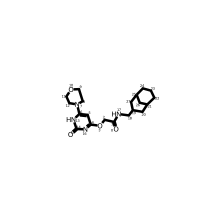 O=C(COc1cc(N2CCOCC2)[nH]c(=O)n1)NCC1CC2CCCC(C2)C1